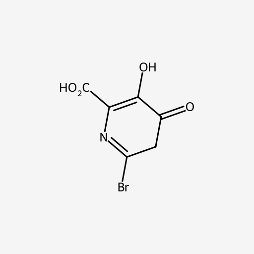 O=C(O)C1=C(O)C(=O)CC(Br)=N1